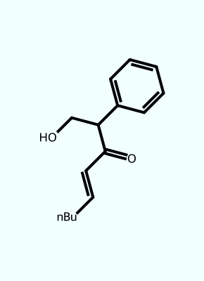 CCCCC=CC(=O)C(CO)c1ccccc1